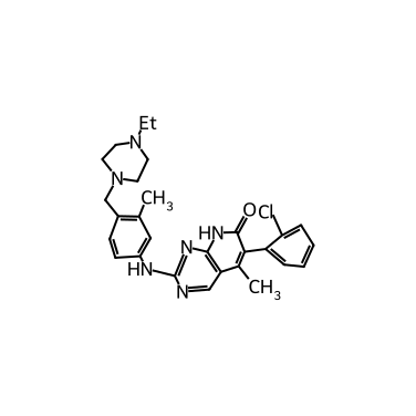 CCN1CCN(Cc2ccc(Nc3ncc4c(C)c(-c5ccccc5Cl)c(=O)[nH]c4n3)cc2C)CC1